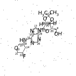 CC1(C)O[C@@H]2[C@H](O1)[C@@H](CO)O[C@H]2n1cnc2c(NC3COCC(F)C3)ncnc21